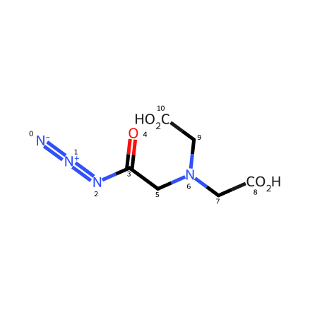 [N-]=[N+]=NC(=O)CN(CC(=O)O)CC(=O)O